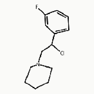 Fc1cccc(C(Cl)CN2CCCCC2)c1